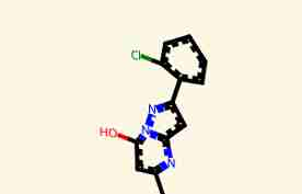 Cc1cc(O)n2nc(-c3ccccc3Cl)cc2n1